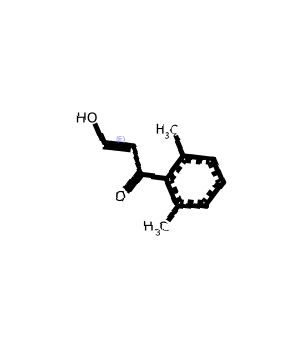 Cc1cccc(C)c1C(=O)/C=C/O